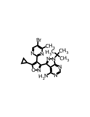 Cc1nc(-c2c(-c3nn(C(C)(C)C)c4ncnc(N)c34)noc2C2CC2)ncc1Br